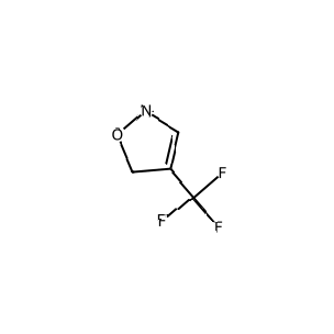 FC(F)(F)C1=C[N]OC1